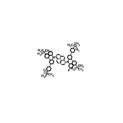 C[Si](C)(C)c1ccc(-c2ccc(N(C3=C4C=CC5=C6C(=CC=C(C=C3)C46)C(N(c3cccc(F)c3)c3ccc(-c4ccc([Si](C)(C)C)cc4)cc3-c3ccc([Si](C)(C)C)cc3)C=C5)c3cccc(F)c3)c(-c3ccc([Si](C)(C)C)cc3)c2)cc1